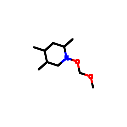 COCON1CC(C)C(C)CC1C